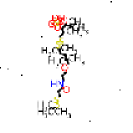 CC(C)(CCC(C)(C)SSCCC(OS(=O)(=O)O)C(=O)C(C)(C)C)COCCCNC(=O)CCSSC(C)(C)C